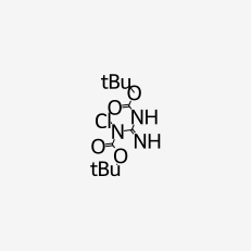 CC(C)(C)OC(=O)NC(=N)N(Cl)C(=O)OC(C)(C)C